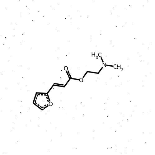 CN(C)CCOC(=O)C=Cc1ccco1